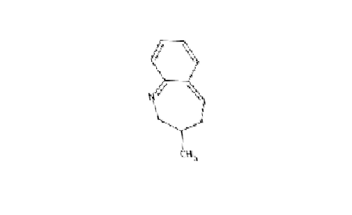 CC1CC=c2ccccc2=NC1